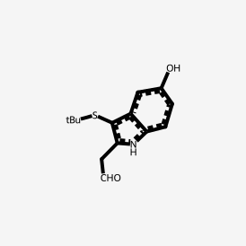 CC(C)(C)Sc1c(CC=O)[nH]c2ccc(O)cc12